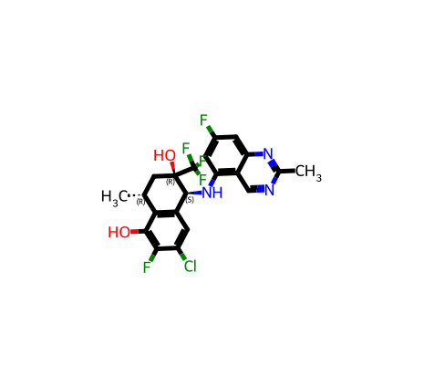 Cc1ncc2c(N[C@H]3c4cc(Cl)c(F)c(O)c4[C@H](C)C[C@]3(O)C(F)(F)F)cc(F)cc2n1